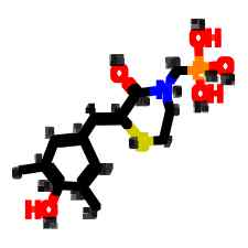 Cc1cc(C=C2SCCN(CP(=O)(O)O)C2=O)cc(C)c1O